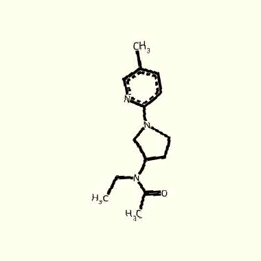 CCN(C(C)=O)C1CCN(c2ccc(C)cn2)C1